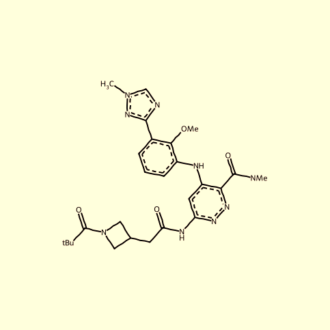 CNC(=O)c1nnc(NC(=O)CC2CN(C(=O)C(C)(C)C)C2)cc1Nc1cccc(-c2ncn(C)n2)c1OC